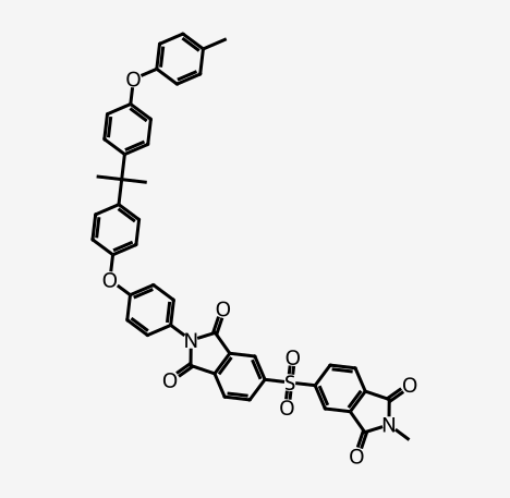 Cc1ccc(Oc2ccc(C(C)(C)c3ccc(Oc4ccc(N5C(=O)c6ccc(S(=O)(=O)c7ccc8c(c7)C(=O)N(C)C8=O)cc6C5=O)cc4)cc3)cc2)cc1